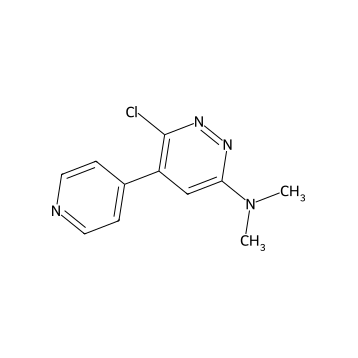 CN(C)c1cc(-c2ccncc2)c(Cl)nn1